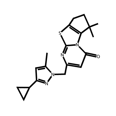 Cc1cc(C2CC2)nn1Cc1cc(=O)n2c3c(sc2n1)CCC3(C)C